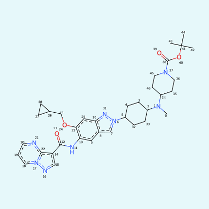 CN(C1CCC(n2cc3cc(NC(=O)c4cnn5cccnc45)c(OCC4CC4)cc3n2)CC1)C1CCN(C(=O)OC(C)(C)C)CC1